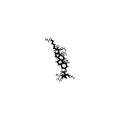 CCCCC[C@@]1(O)OC2CC3C4CCC5C[C@H](OC(=O)C6(CC)CC6(C)C)CCC5(C)C4CCC3(C)C2[C@@H]1C